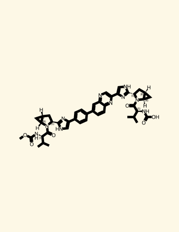 COC(=O)N[C@H](C(=O)N1[C@@H]2C[C@@H]2C[C@H]1c1nc(-c2ccc(-c3ccc4nc(-c5c[nH]c([C@@H]6C[C@H]7C[C@H]7N6C(=O)[C@@H](NC(=O)O)C(C)C)n5)cnc4c3)cc2)c[nH]1)C(C)C